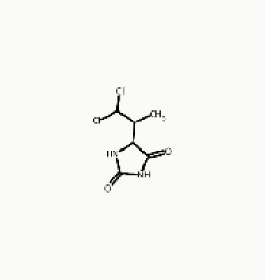 CC(C(Cl)Cl)C1NC(=O)NC1=O